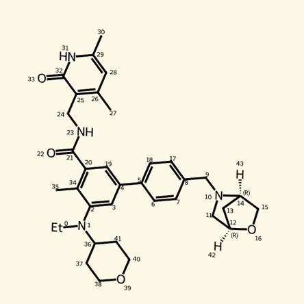 CCN(c1cc(-c2ccc(CN3C[C@H]4C[C@@H]3CO4)cc2)cc(C(=O)NCc2c(C)cc(C)[nH]c2=O)c1C)C1CCOCC1